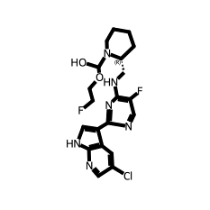 OC(OCCF)N1CCCC[C@@H]1CNc1nc(-c2c[nH]c3ncc(Cl)cc23)ncc1F